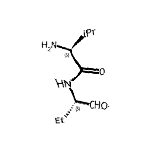 CC[C@@H]([C]=O)NC(=O)[C@@H](N)C(C)C